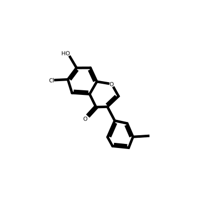 Cc1cccc(-c2coc3cc(O)c(Cl)cc3c2=O)c1